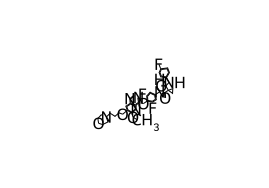 COc1nc2c(Oc3c(F)cc(NC(=O)C4(C(=O)Nc5ccc(F)cc5)CC4)cc3F)ncnc2cc1OCCCN1CCOCC1